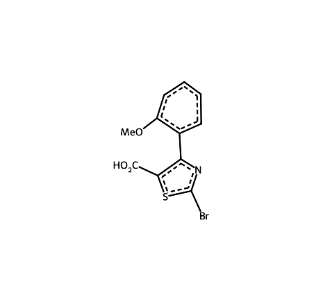 COc1ccccc1-c1nc(Br)sc1C(=O)O